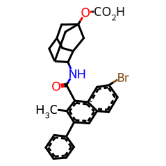 Cc1c(-c2ccccc2)cc2ccc(Br)cc2c1C(=O)NC1C2CC3CC1CC(OC(=O)O)(C3)C2